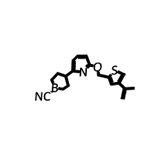 C=C(C)c1csc(COc2cccc(C3CCB(C#N)CC3)n2)c1